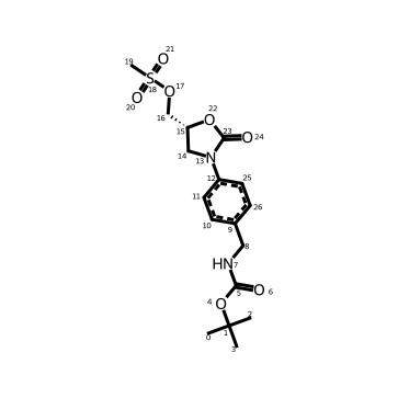 CC(C)(C)OC(=O)NCc1ccc(N2C[C@H](COS(C)(=O)=O)OC2=O)cc1